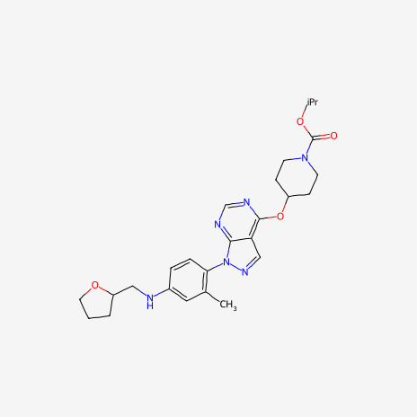 Cc1cc(NCC2CCCO2)ccc1-n1ncc2c(OC3CCN(C(=O)OC(C)C)CC3)ncnc21